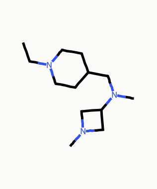 CCN1CCC(CN(C)C2CN(C)C2)CC1